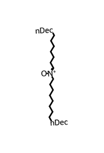 CCCCCCCCCCCCCCCCC=[N+]([O-])CCCCCCCCCCCCCCCCCC